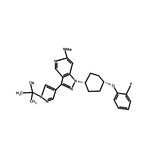 CNc1cc2c(cn1)c(-c1cnn(C(C)(C)C#N)c1)nn2[C@H]1CC[C@@H](Oc2ccccc2F)CC1